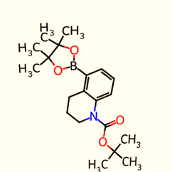 CC(C)(C)OC(=O)N1CCCc2c(B3OC(C)(C)C(C)(C)O3)cccc21